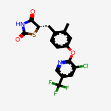 Cc1cc(Oc2ncc(C(F)(F)F)cc2Cl)ccc1C[C@@H]1SC(=O)NC1=O